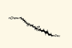 CCCCCCCCCCCCCCCCCCNC(=O)CCCCCNC(=O)NCCCCCCCCCCCCCCCCCC